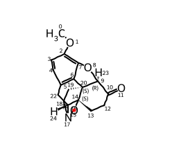 COc1ccc2c3c1O[C@H]1C(=O)CC[C@]45OCN(CC[C@]314)[C@@H]5C2